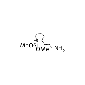 CO[SiH](OC)c1ccccc1CCCN